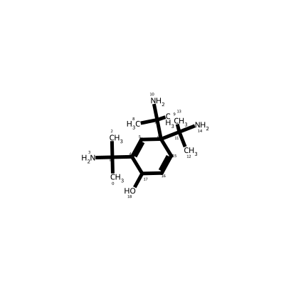 CC(C)(N)C1=CC(C(C)(C)N)(C(C)(C)N)C=CC1O